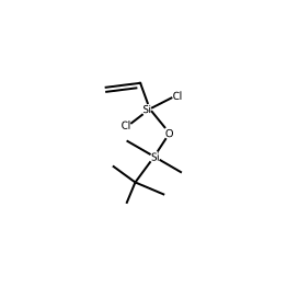 C=C[Si](Cl)(Cl)O[Si](C)(C)C(C)(C)C